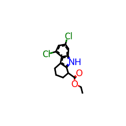 CCOC(=O)C1CCCc2c1[nH]c1cc(Cl)cc(Cl)c21